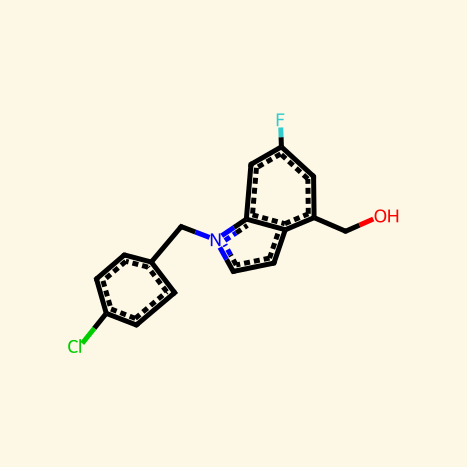 OCc1cc(F)cc2c1ccn2Cc1ccc(Cl)cc1